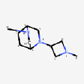 CN1CC(N2CC3CCC2CN3C)C1